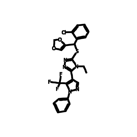 CCn1c(SC(C2=COCO2)c2ccccc2Cl)nnc1-c1cnn(-c2ccccc2)c1C(F)(F)F